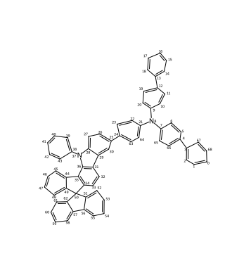 c1ccc(-c2ccc(N(c3ccc(-c4ccccc4)cc3)c3ccc(-c4ccc5c(c4)c4ccc6c(c4n5-c4ccccc4)-c4ccccc4C64c5ccccc5-c5ccccc54)cc3)cc2)cc1